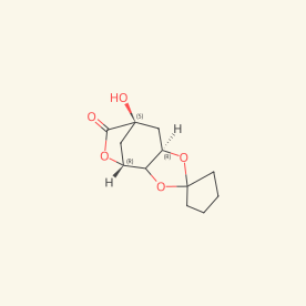 O=C1O[C@@H]2C[C@@]1(O)C[C@H]1OC3(CCCC3)OC21